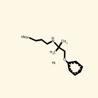 CCCCCCCCCCCCNC(C)(C)COc1ccccc1.I